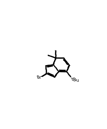 CC(C)(C)C1=C2C=C(Br)C=C2C(C)(C)C=C1